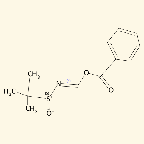 CC(C)(C)[S@@+]([O-])/N=C/OC(=O)c1ccccc1